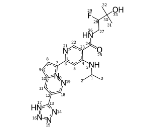 CC(C)Nc1cc(-c2ccc3cc(-c4nnn[nH]4)cnn23)ncc1C(=O)NCC(F)C(C)(C)O